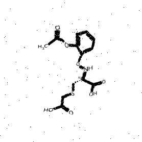 CC(=O)Oc1ccccc1ON[C@@H](CSCC(=O)O)C(=O)O